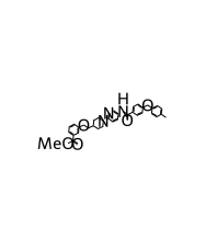 COC(=O)c1cccc(OCC2CCN(c3ccc(NC(=O)c4ccc(Oc5ccc(C)cc5)cc4)cn3)CC2)c1